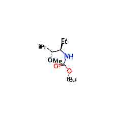 CC[C@@H](NC(=O)OC(C)(C)C)[C@H](OC)C(C)C